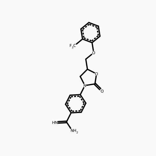 N=C(N)c1ccc(N2CC(COc3ccccc3C(F)(F)F)OC2=O)cc1